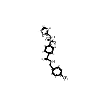 O=C(NCc1ccc(C(F)(F)F)cc1)c1ccc(S(=O)(=O)Nc2nncs2)cc1